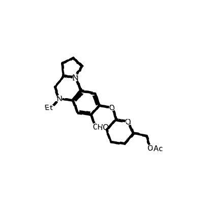 CCN1CC2CCCN2c2cc(OC3CCCC(COC(C)=O)O3)c(C=O)cc21